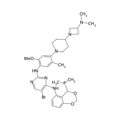 COc1cc(N2CCC(N3CC(N(C)C)C3)CC2)c(C)cc1Nc1ncc(Br)c(Nc2cccc3c2C(P(C)C)OCO3)n1